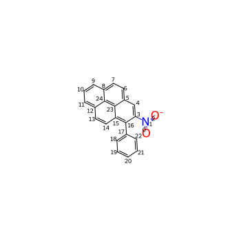 O=[N+]([O-])c1cc2ccc3cccc4ccc(c1-c1ccccc1)c2c34